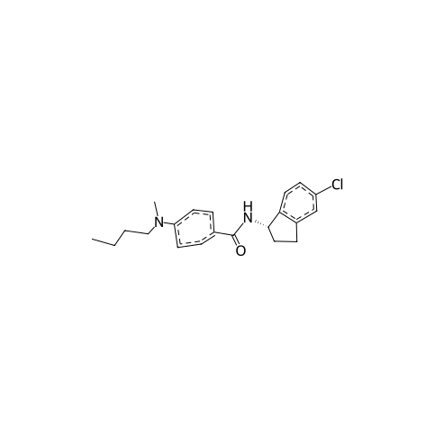 CCCCN(C)c1ccc(C(=O)N[C@H]2CCc3cc(Cl)ccc32)cc1